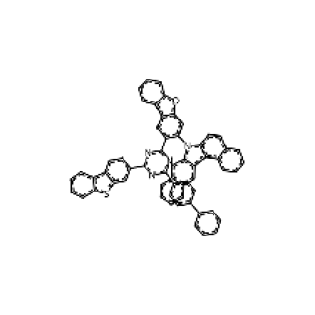 c1ccc(-c2ccc(-c3nc(-c4ccc5c(c4)sc4ccccc45)nc(-c4cc5c(cc4-n4c6cc7ccccc7cc6c6c7ccccc7ccc64)oc4ccccc45)n3)cc2)cc1